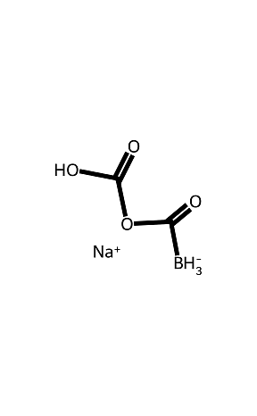 [BH3-]C(=O)OC(=O)O.[Na+]